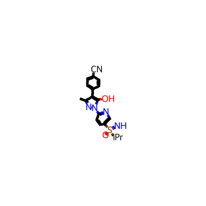 Cc1nn(-c2ccc(S(=N)(=O)C(C)C)cn2)c(O)c1-c1ccc(C#N)cc1